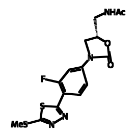 CSc1nnc(-c2ccc(N3C[C@H](CNC(C)=O)OC3=O)cc2F)s1